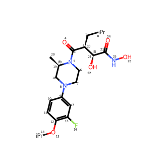 CC(C)C[C@H](C(=O)N1CCN(c2ccc(OC(C)C)c(F)c2)C[C@H]1C)[C@H](O)C(=O)NO